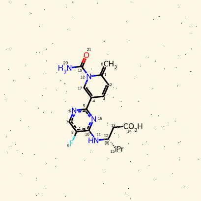 C=C1C=CC(c2ncc(F)c(N[C@H](CC(=O)O)C(C)C)n2)=CN1C(N)=O